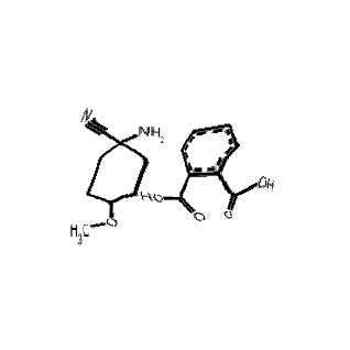 COC1CCC(N)(C#N)CC1.O=C(O)c1ccccc1C(=O)O